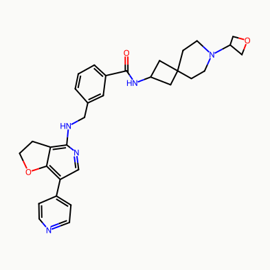 O=C(NC1CC2(CCN(C3COC3)CC2)C1)c1cccc(CNc2ncc(-c3ccncc3)c3c2CCO3)c1